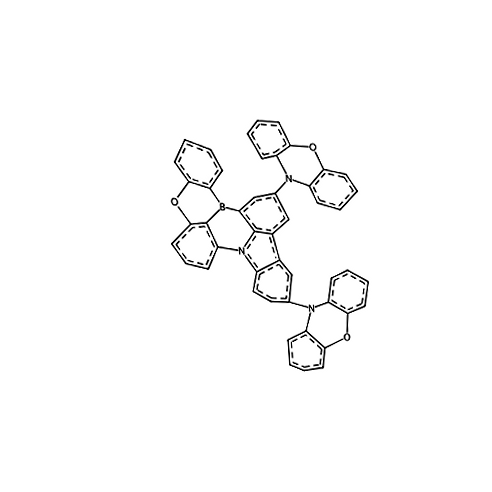 c1ccc2c(c1)Oc1cccc3c1B2c1cc(N2c4ccccc4Oc4ccccc42)cc2c4cc(N5c6ccccc6Oc6ccccc65)ccc4n-3c12